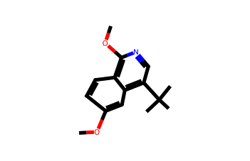 COc1ccc2c(OC)ncc(C(C)(C)C)c2c1